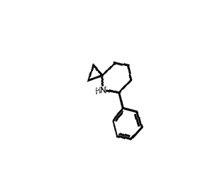 c1ccc(C2CCCC3(CC3)N2)cc1